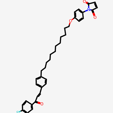 O=C(C=Cc1ccc(CCCCCCCCCCCCOc2ccc(N3C(=O)C=CC3=O)cc2)cc1)c1ccc(F)cc1